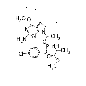 COC(=O)[C@H](C)NP(Oc1ccc(Cl)cc1)OC(C)n1cnc2c(OC)nc(N)nc21